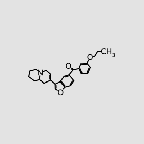 CCCOc1cccc(C(=O)c2ccc3occ(C4=CCN5CCCCC5C4)c3c2)c1